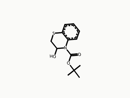 CC(C)(C)OC(=O)N1c2ccccc2SCC1O